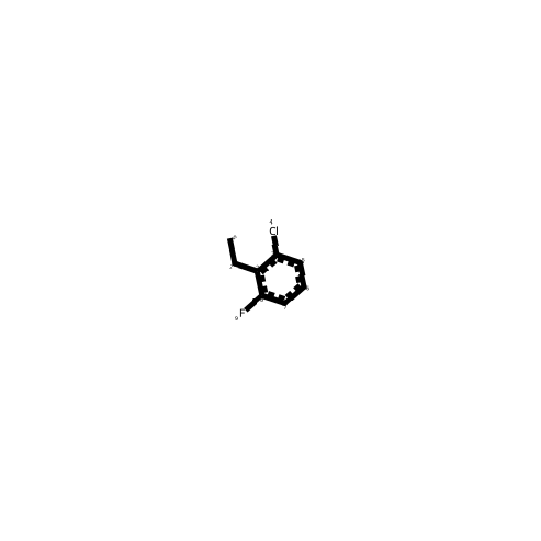 CCc1c(Cl)[c]ccc1F